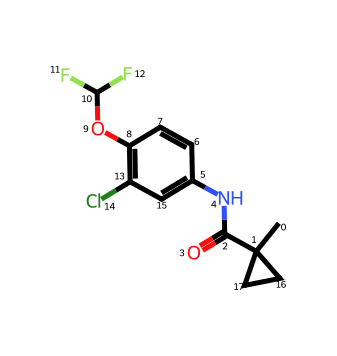 CC1(C(=O)Nc2ccc(OC(F)F)c(Cl)c2)CC1